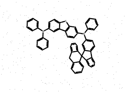 c1ccc(N(c2ccc3c(c2)C2(c4ccccc4Cc4ccccc42)c2ccccc2-3)c2ccc3c(c2)sc2ccc(N(c4ccccc4)c4ccccc4)cc23)cc1